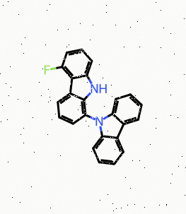 Fc1cccc2[nH]c3c(-n4c5ccccc5c5ccccc54)cccc3c12